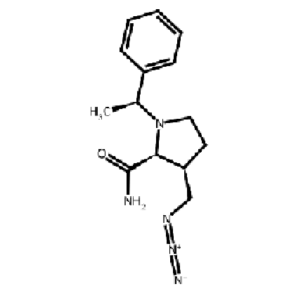 C[C@@H](c1ccccc1)N1CC[C@@H](CN=[N+]=[N-])[C@H]1C(N)=O